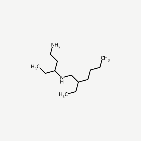 CCCCC(CC)CNC(CC)CCN